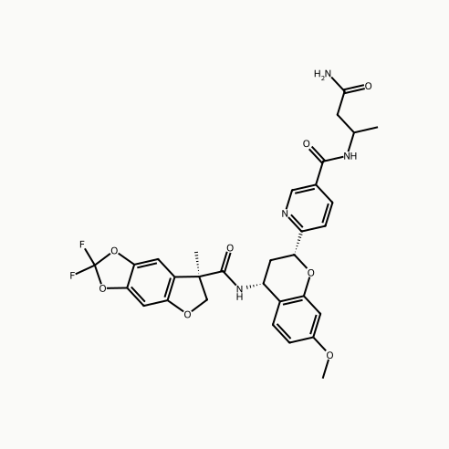 COc1ccc2c(c1)O[C@@H](c1ccc(C(=O)NC(C)CC(N)=O)cn1)C[C@H]2NC(=O)[C@@]1(C)COc2cc3c(cc21)OC(F)(F)O3